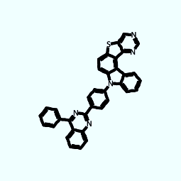 c1ccc(-c2nc(-c3ccc(-n4c5ccccc5c5c6c(ccc54)sc4cncnc46)cc3)nc3ccccc23)cc1